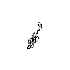 O=C(Nc1[nH]nc(C(=O)NCCCN2CCOCC2)c1Br)c1ccccc1Cl